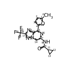 Cc1ccc(-c2nc(NC(=O)C3CC3)cn3nc(C(F)(F)F)nc23)o1